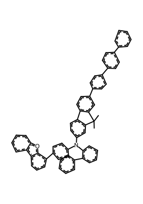 CC1(C)c2cc(-c3ccc(-c4ccc(-c5ccccc5)cc4)cc3)ccc2-c2ccc(N(c3ccc(-c4cccc5c4oc4ccccc45)cc3)c3ccccc3-c3ccccc3)cc21